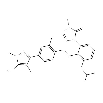 CSc1c(C)c(-c2ccc(OCc3c(OC(F)F)cccc3-n3nnn(C)c3=O)c(C)c2)nn1C